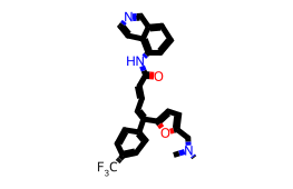 CN(C)Cc1ccc(/C(=C\C=C\C(=O)Nc2cccc3cnccc23)c2ccc(C(F)(F)F)cc2)o1